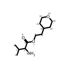 CC(C)C(N)C(=O)OC[CH]C1CCOCC1